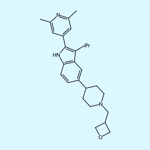 Cc1cc(-c2[nH]c3ccc(C4CCN(CC5COC5)CC4)cc3c2C(C)C)cc(C)n1